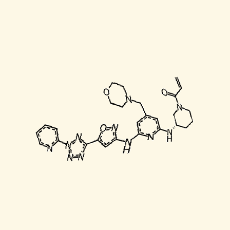 C=CC(=O)N1CCC[C@H](Nc2cc(CN3CCOCC3)cc(Nc3cc(-c4nnn(-c5ccccn5)n4)on3)n2)C1